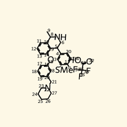 CSc1ccc(C2CNC(C)c3cccc(Oc4cccc(CN5CCCCC5)c4)c32)cc1.O=C(O)C(F)(F)F